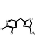 CC1CNC(Cc2cnc(Cl)c(Cl)c2)=N1